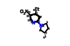 CCc1cc(N2CC[C@H](C)C2)ncc1[N+](=O)[O-]